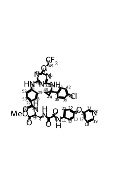 COC(=O)[C@H](CNC(=O)C(=O)Nc1ccc(Oc2cccnc2)cc1)NC(=O)c1ccc(Nc2nc(NC3(c4ccc(Cl)cc4)CC3)nc(OCC(F)(F)F)n2)cc1